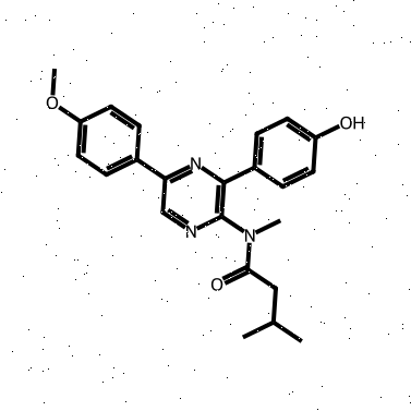 COc1ccc(-c2cnc(N(C)C(=O)CC(C)C)c(-c3ccc(O)cc3)n2)cc1